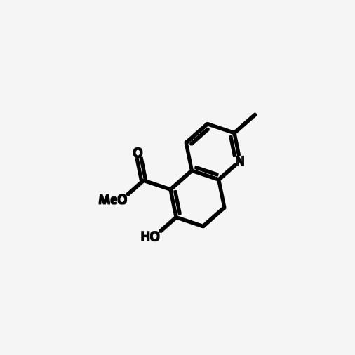 COC(=O)C1=C(O)CCc2nc(C)ccc21